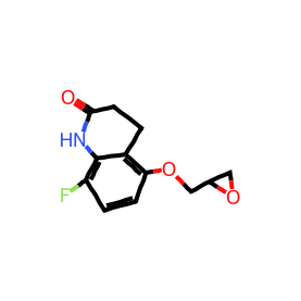 O=C1CCc2c(OCC3CO3)ccc(F)c2N1